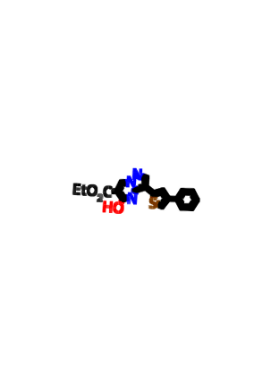 CCOC(=O)c1cn2ncc(-c3cc(-c4ccccc4)cs3)c2nc1O